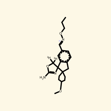 [2H]C1([2H])OC(N)=NC12c1cc(/C=N/OCCC)ccc1CC21CCC(OC)CC1